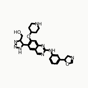 OCC1N=NNC1c1cc2cnc(Nc3cccc(C4CN=CO4)c3)nc2cc1OC1CCNCC1